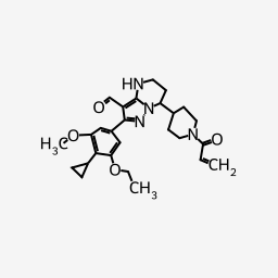 C=CC(=O)N1CCC(C2CCNc3c(C=O)c(-c4cc(OC)c(C5CC5)c(OCC)c4)nn32)CC1